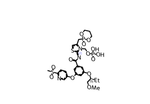 CC[C@@H](COC)Oc1cc(Oc2ccc(S(C)(=O)=O)nc2)cc(C(=O)/N=c2\scc(CP3(=O)OCCCO3)n2COP(=O)(O)O)c1